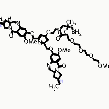 BSC(C)(C)CN(CCOc1cc(COc2cc3c(cc2OC)C(=O)N2C/C(=C/C)CC2C=N3)nc(COc2cc3c(cc2OC)C(=O)N2C/C(=C/C)C[C@H]2C=N3)c1)C(=O)CCOCCOCCOCCOC